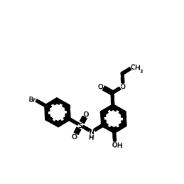 CCOC(=O)c1ccc(O)c(NS(=O)(=O)c2ccc(Br)cc2)c1